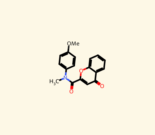 COc1ccc(N(C)C(=O)c2cc(=O)c3ccccc3o2)cc1